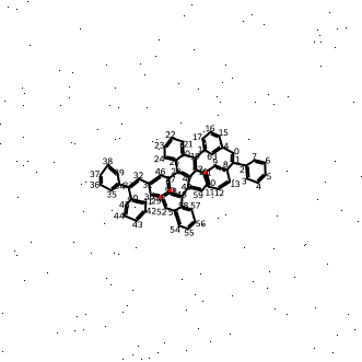 C(=C(c1ccccc1)c1ccccc1)c1cccc(-c2c3ccccc3c(-c3cccc(C=C(c4ccccc4)c4ccccc4)c3)c3c(-c4cccc5ccccc45)cccc23)c1